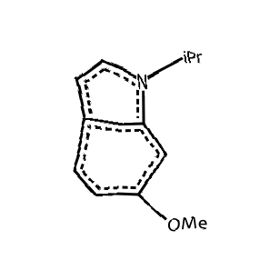 COc1ccc2ccn(C(C)C)c2c1